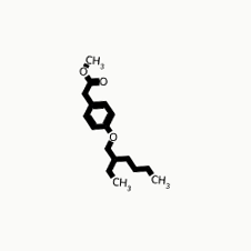 CCCCC(CC)COc1ccc(CC(=O)OC)cc1